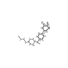 CCCCC1CCC(C(C)c2ccc(-c3cnc(F)c(F)c3)cc2)CC1